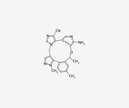 Cc1ccc2c(c1)C(C)Oc1cc(cnc1N)-c1c(C#N)ncn1Cc1cnn(C)c1-2